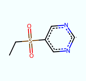 CCS(=O)(=O)c1cn[c]nc1